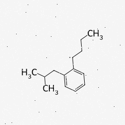 CCC[CH]c1ccccc1CC(C)C